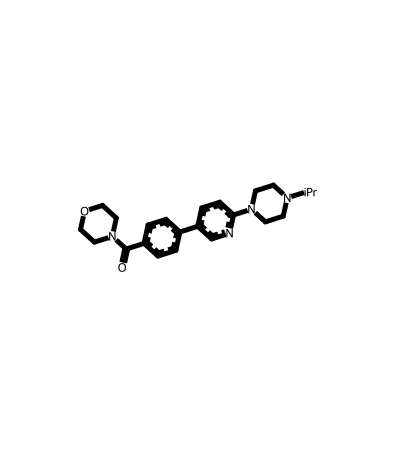 CC(C)N1CCN(c2ccc(-c3ccc(C(=O)N4CCOCC4)cc3)cn2)CC1